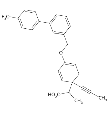 CC#CC1(C(C)C(=O)O)C=CC(OCc2cccc(-c3ccc(C(F)(F)F)cc3)c2)=CC1